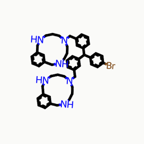 Brc1ccc(C(c2cccc(CN3CCCNCc4cccc(c4)CNCCC3)c2)c2cccc(CN3CCCNCc4cccc(c4)CNCCC3)c2)cc1